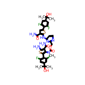 CN(C(=O)OCc1nccc(Nc2sc(-c3c(F)cc(C(C)(C)O)cc3F)cc2C(N)=O)n1)c1c(-c2c(F)cc(C(C)(C)O)cc2F)sc(N)c1C(N)=O